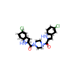 O=C(c1cc2cc(Cl)ccc2[nH]1)N1CCN(C(=O)c2cc3cc(Cl)ccc3[nH]2)CC1